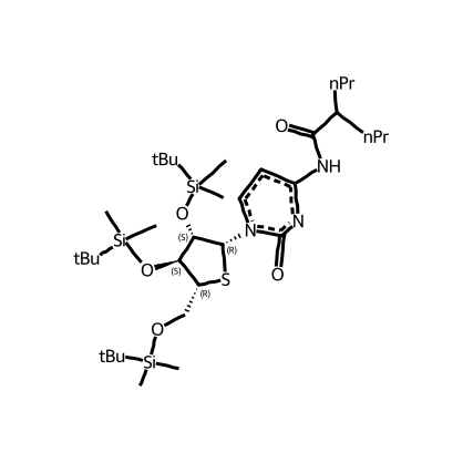 CCCC(CCC)C(=O)Nc1ccn([C@@H]2S[C@H](CO[Si](C)(C)C(C)(C)C)[C@@H](O[Si](C)(C)C(C)(C)C)[C@@H]2O[Si](C)(C)C(C)(C)C)c(=O)n1